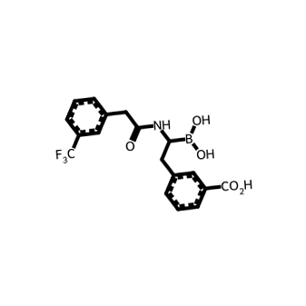 O=C(Cc1cccc(C(F)(F)F)c1)NC(Cc1cccc(C(=O)O)c1)B(O)O